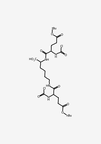 CCCCOC(=O)CCC(NC(=O)Cl)C(=O)NCCCCC(NC(=O)C(CCC(=O)OC(C)(C)C)NC(=O)Cl)C(=O)O